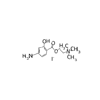 C[N+](C)(C)CCOC(=O)c1ccc(N)cc1O.[I-]